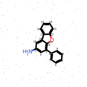 Nc1cc(-c2ccccc2)c2oc3ccccc3c2c1